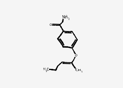 CCC=C(C)Oc1ccc(C(N)=O)cc1